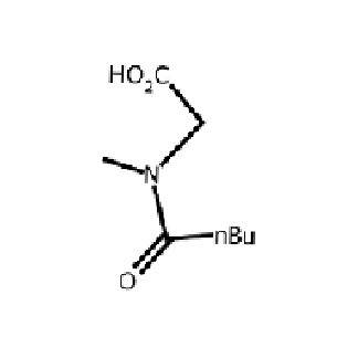 CCCCC(=O)N(C)CC(=O)O